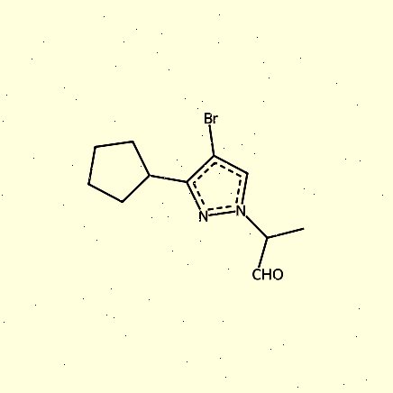 CC(C=O)n1cc(Br)c(C2CCCC2)n1